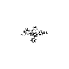 CC1CN(c2nc3c(N4CCOCC4)nc(-c4cnc(N)nc4)nc3n2CC2CCOC2)CC(C)N1